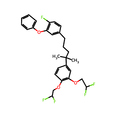 CC(C)(CCCc1ccc(F)c(Oc2ccccc2)c1)c1ccc(OCC(F)F)c(OCC(F)F)c1